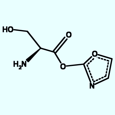 N[C@@H](CO)C(=O)Oc1ncco1